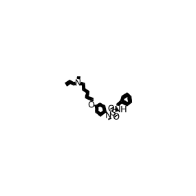 C=CCN(C)CCCCCO[C@H]1CC[C@H](N(C)S(=O)(=O)NCc2ccccc2)CC1